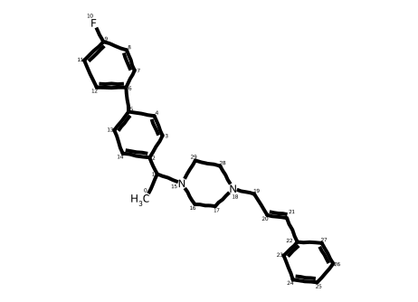 CC(c1ccc(-c2ccc(F)cc2)cc1)N1CCN(CC=Cc2ccccc2)CC1